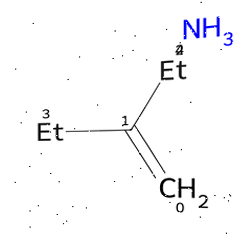 C=C(CC)CC.N